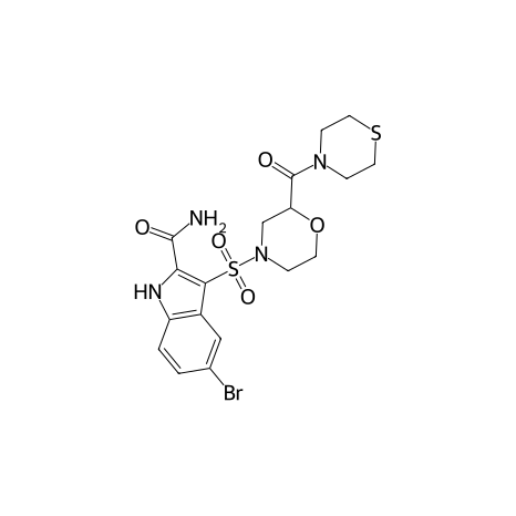 NC(=O)c1[nH]c2ccc(Br)cc2c1S(=O)(=O)N1CCOC(C(=O)N2CCSCC2)C1